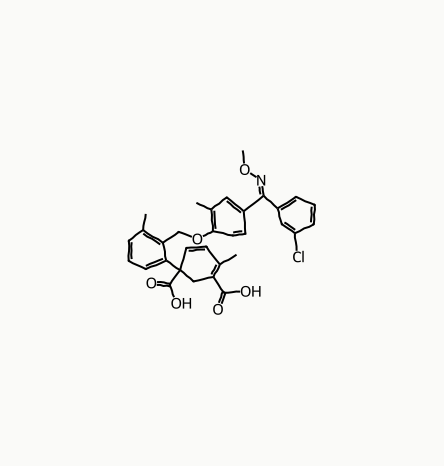 CON=C(c1cccc(Cl)c1)c1ccc(OCc2c(C)cccc2C2(C(=O)O)C=CC(C)=C(C(=O)O)C2)c(C)c1